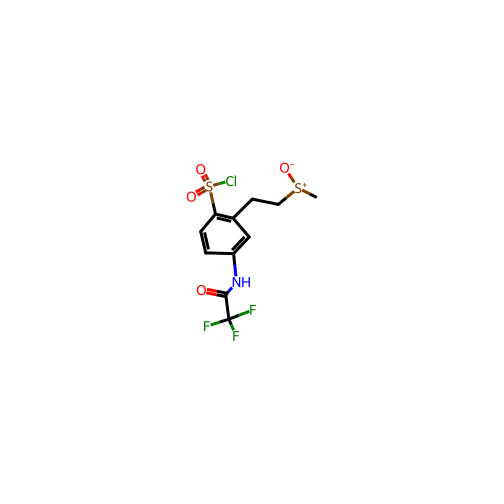 C[S+]([O-])CCc1cc(NC(=O)C(F)(F)F)ccc1S(=O)(=O)Cl